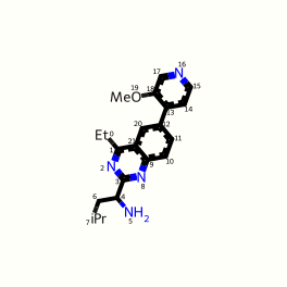 CCc1nc(C(N)CC(C)C)nc2ccc(-c3ccncc3OC)cc12